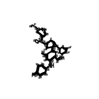 CCCn1cc([S+]([O-])N2CC3C(c4ccccc4)C3(c3cc(C=N)c(Nc4ccc(F)cc4)cc3C)C2)cn1